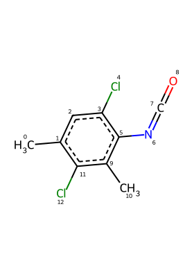 Cc1cc(Cl)c(N=C=O)c(C)c1Cl